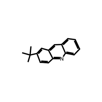 CC(C)(C)c1ccc2nc3ccccc3cc2c1